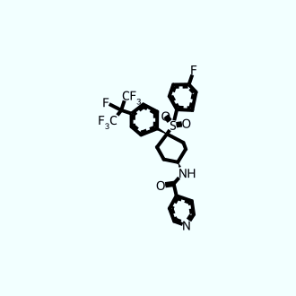 O=C(N[C@H]1CC[C@@](c2ccc(C(F)(C(F)(F)F)C(F)(F)F)cc2)(S(=O)(=O)c2ccc(F)cc2)CC1)c1ccncc1